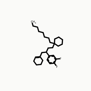 CCCCCCCCC1(CCC(CC2=CCCCC2)c2ccc(F)c(F)c2)CCCCC1